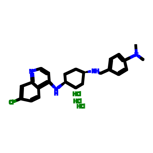 CN(C)c1ccc(CN[C@H]2CC[C@H](Nc3ccnc4cc(Cl)ccc34)CC2)cc1.Cl.Cl.Cl